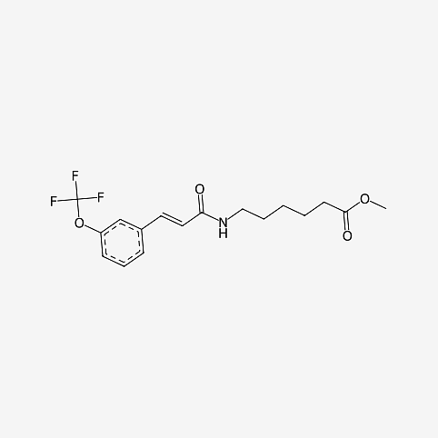 COC(=O)CCCCCNC(=O)C=Cc1cccc(OC(F)(F)F)c1